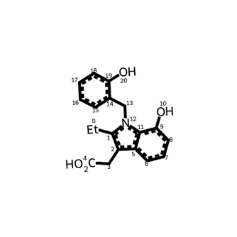 CCc1c(CC(=O)O)c2cccc(O)c2n1Cc1ccccc1O